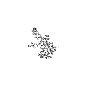 O=S(=O)(O)OC[C@H]1O[C@@H](Sc2ccc(OS(=O)(=O)O)cc2)[C@H](OS(=O)(=O)O)[C@@H](OS(=O)(=O)O)[C@@H]1O[C@H]1O[C@H](COS(=O)(=O)O)[C@@H](OS(=O)(=O)O)[C@H](OS(=O)(=O)O)[C@H]1OS(=O)(=O)O